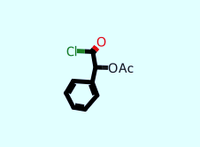 CC(=O)OC(C(=O)Cl)c1ccccc1